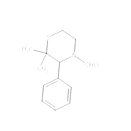 CC1(C)SCCN(C=O)C1c1ccccc1